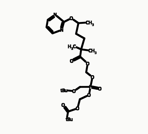 CC(CCC(C)(C)C(=O)OCOP(=O)(COC(C)(C)C)OCOC(=O)C(C)(C)C)Oc1ncccn1